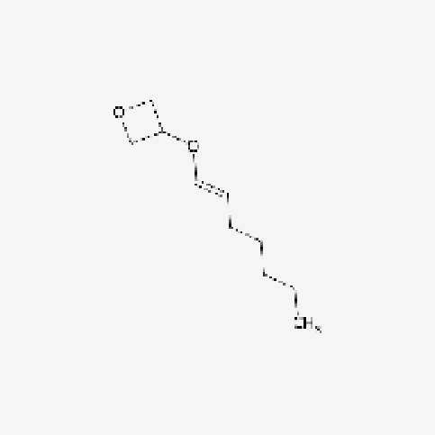 CCCCCC=COC1COC1